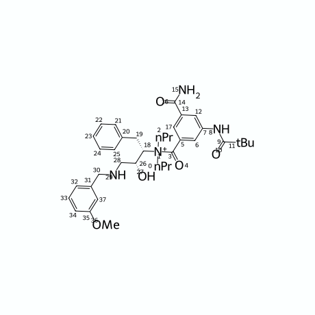 CCC[N+](CCC)(C(=O)c1cc(NC(=O)C(C)(C)C)cc(C(N)=O)c1)[C@@H](Cc1ccccc1)[C@H](O)CNCc1cccc(OC)c1